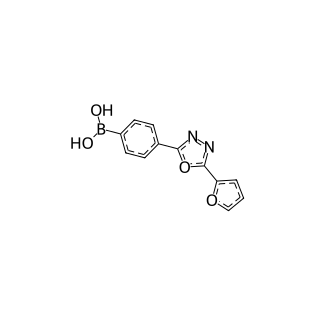 OB(O)c1ccc(-c2nnc(-c3ccco3)o2)cc1